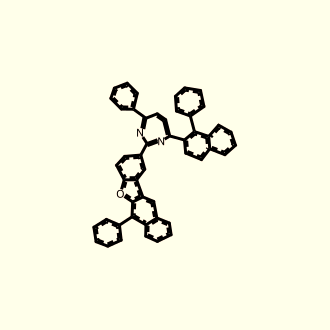 C1=CC(c2ccccc2)=NC(c2ccc3oc4c(-c5ccccc5)c5ccccc5cc4c3c2)=NC=1c1ccc2ccccc2c1-c1ccccc1